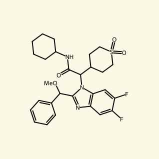 COC(c1ccccc1)c1nc2cc(F)c(F)cc2n1C(C(=O)NC1CCCCC1)C1CCS(=O)(=O)CC1